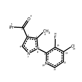 Cc1c(C(=O)C(C)C)cnn1-c1nccc(Cl)c1F